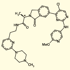 COc1ccc(Nc2ncc(Cl)c(-c3ccc4c(c3)C(=O)N([C@H](C)C(=O)NCCc3cccc(N5CCN(C)CC5)n3)C4)n2)cn1